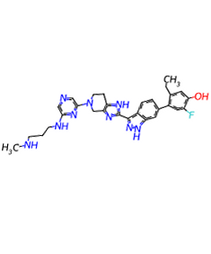 CCc1cc(O)c(F)cc1-c1ccc2c(-c3nc4c([nH]3)CCN(c3cncc(NCCCNC)n3)C4)n[nH]c2c1